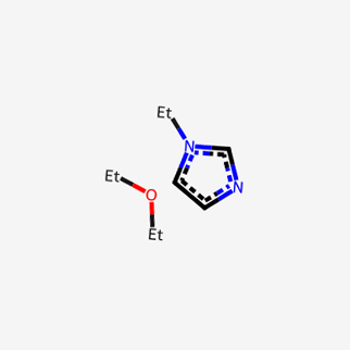 CCOCC.CCn1ccnc1